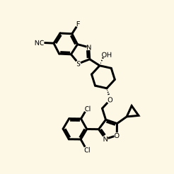 N#Cc1cc(F)c2nc([C@]3(O)CC[C@@H](OCc4c(-c5c(Cl)cccc5Cl)noc4C4CC4)CC3)sc2c1